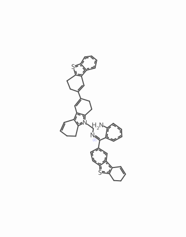 Nc1ccccc1/C(=N\Cn1c2c(c3c1CCC(C1=Cc4c(sc5ccccc45)CC1)=C3)C=CCC2)c1ccc2sc3c(c2c1)C=CCC3